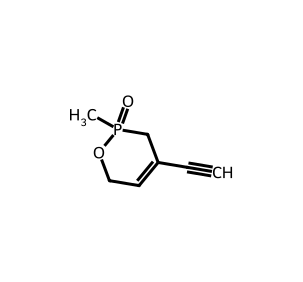 C#CC1=CCOP(C)(=O)C1